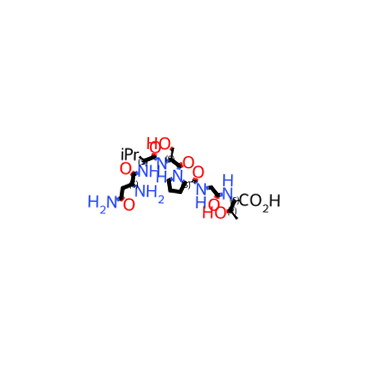 CC(C)[C@H](NC(=O)[C@@H](N)CC(N)=O)C(=O)N[C@@H](CO)C(=O)N1CCC[C@H]1C(=O)NCC(=O)N[C@H](C(=O)O)[C@@H](C)O